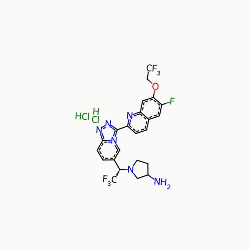 Cl.Cl.NC1CCN([C@H](c2ccc3nnc(-c4ccc5cc(F)c(OCC(F)(F)F)cc5n4)n3c2)C(F)(F)F)C1